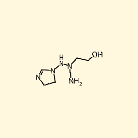 NN(CCO)NN1C=NCC1